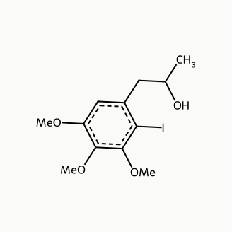 COc1cc(CC(C)O)c(I)c(OC)c1OC